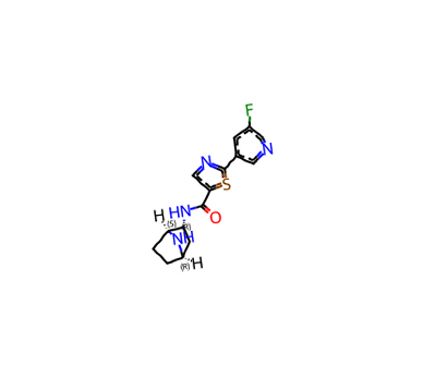 O=C(N[C@@H]1C[C@H]2CC[C@@H]1N2)c1cnc(-c2cncc(F)c2)s1